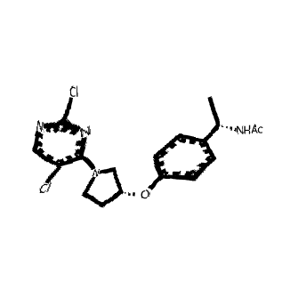 CC(=O)N[C@@H](C)c1ccc(O[C@@H]2CCN(c3nc(Cl)ncc3Cl)C2)cc1